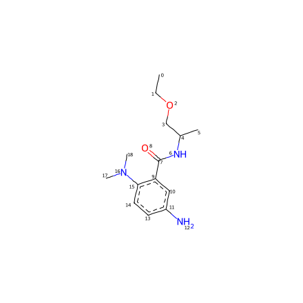 CCOCC(C)NC(=O)c1cc(N)ccc1N(C)C